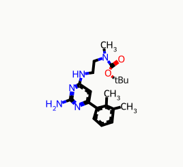 Cc1cccc(-c2cc(NCCN(C)C(=O)OC(C)(C)C)nc(N)n2)c1C